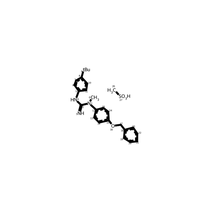 CN(C(=N)Nc1ccc(C(C)(C)C)cc1)c1ccc(OCc2ccccc2)cc1.CS(=O)(=O)O